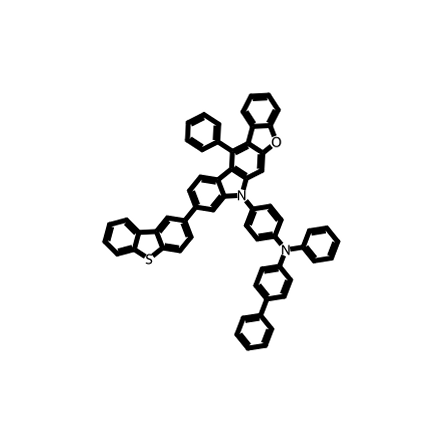 c1ccc(-c2ccc(N(c3ccccc3)c3ccc(-n4c5cc(-c6ccc7sc8ccccc8c7c6)ccc5c5c(-c6ccccc6)c6c(cc54)oc4ccccc46)cc3)cc2)cc1